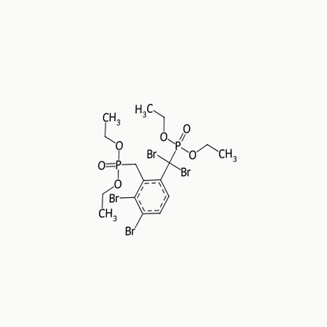 CCOP(=O)(Cc1c(C(Br)(Br)P(=O)(OCC)OCC)ccc(Br)c1Br)OCC